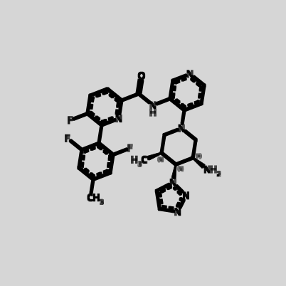 Cc1cc(F)c(-c2nc(C(=O)Nc3cnccc3N3C[C@@H](N)[C@@H](n4ccnn4)[C@@H](C)C3)ccc2F)c(F)c1